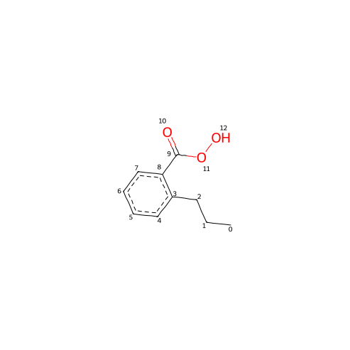 CCCc1ccccc1C(=O)OO